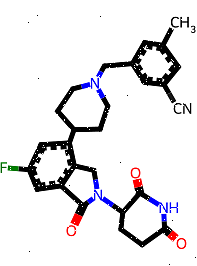 Cc1cc(C#N)cc(CN2CCC(c3cc(F)cc4c3CN(C3CCC(=O)NC3=O)C4=O)CC2)c1